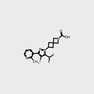 Cc1ncccc1-c1nn(C2CC3(C2)CN(C(=O)O)C3)c(C(F)F)c1I